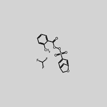 Cc1ccccc1C(=O)OOS(=O)(=O)c1cc2cc(c1)OC2.FC(F)F